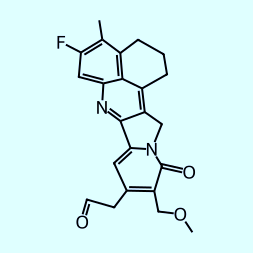 COCc1c(CC=O)cc2n(c1=O)Cc1c-2nc2cc(F)c(C)c3c2c1CCC3